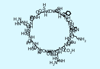 CC[C@H](C)[C@@H]1NC(=O)C(CCCCN)NC(=O)[C@H](Cc2cnc[nH]2)NC(=O)CNC(=O)[C@H](Cc2ccccc2)NC(=O)C(CS)NCCN[C@@H](CS)C(=O)C(=O)CNC(=O)C(CC(C)C)NC(=O)[C@H](CCCNC(=N)N)NC(=O)C(CO)NC(=O)[C@H](C(C)C)NC(=O)C(CO)NC(=O)CNC(=O)[C@H]([C@@H](C)CC)NC(=O)[C@H](CCCNC(=N)N)NC(=O)C(CC(=O)O)NC1=O